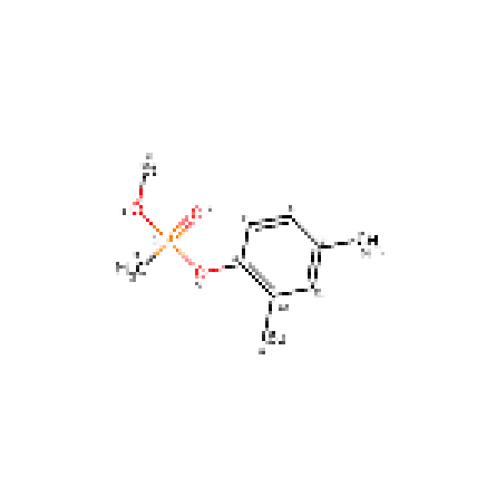 CCOP(C)(=O)Oc1ccc(C)cc1C(C)(C)C